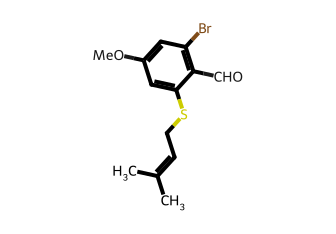 COc1cc(Br)c(C=O)c(SCC=C(C)C)c1